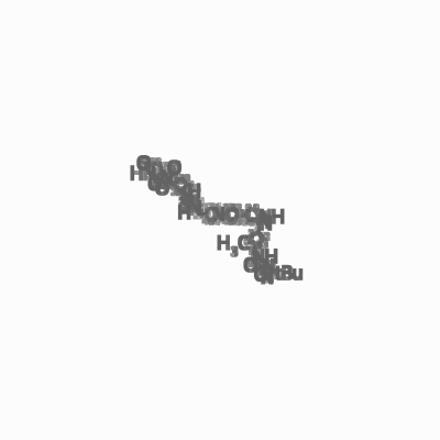 Cc1cc(-c2n[nH]c3ccc(-c4ccc(N5CCC(CN6C[C@H]7C[C@@H]6CN7c6ccc7c(c6)C(=O)N(C6CCC(=O)NC6=O)C7=O)CC5)cc4)cc23)ccc1CNC(=O)c1nc(C(C)(C)C)no1